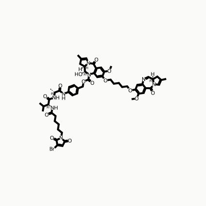 COc1cc2c(cc1OCCCCCOc1cc3c(cc1OC)C(=O)N1C=C(C)C[C@@H]1[C@@H](O)N3C(=O)OCc1ccc(NC(=O)[C@@H](C)NC(=O)[C@H](NC(=O)CCCCCN3C(=O)C=C(Br)C3=O)C(C)C)cc1)N=C[C@H]1CC(C)=CN1C2=O